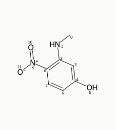 CNc1cc(O)ccc1[N+](=O)[O-]